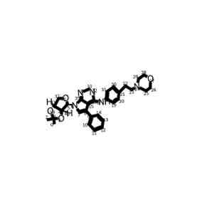 CC1(C)O[C@H]2[C@H](n3cc(-c4ccccc4)c4c(Nc5ccc(CCN6CCOCC6)cc5)ncnc43)OC[C@H]2O1